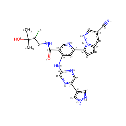 CC(C)(O)C(F)CNC(=O)c1cnc(-c2ccc3cc(C#N)cnn23)cc1Nc1cnc(-c2cn[nH]c2)cn1